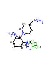 Cl.Cl.Cl.NCC1CCN(c2c(N)cccc2N)CC1